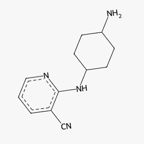 N#Cc1cccnc1NC1CCC(N)CC1